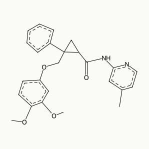 COc1ccc(OCC2(c3ccccc3)CC2C(=O)Nc2cc(C)ccn2)cc1OC